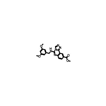 COC(=O)c1ccc2nc(NCc3cc(OC)cc(OC)c3)n3cnnc3c2c1